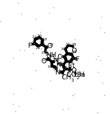 CCC(OC(C)(C)C)(C(=O)O)c1c(C)nc2cc(C(=O)NCC(=O)c3cccc(F)c3)nn2c1-c1cc(F)c2c(c1C)CCCO2